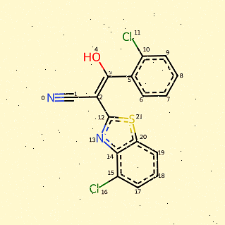 N#C/C(=C(\O)c1ccccc1Cl)c1nc2c(Cl)cccc2s1